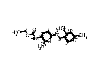 CCOC(=O)Nc1ccc(N(Cl)Cc2ccc(C)cc2C)nc1N